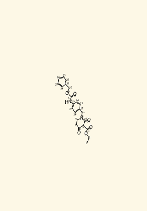 CCOC(=O)C1C(=O)CCN(Cc2ccc(NC(=O)OCc3ccccc3)cc2)C1=O